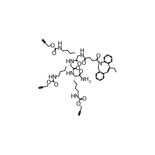 C#CCOC(=O)NCCCC[C@H](NC(=O)[C@H](CCCCNC(=O)OCC#C)NC(=O)[C@H](CCCCNC(=O)OCC#C)NC(=O)CCC(=O)N1Cc2ccccc2/C=C(/CC)c2ccccc21)C(N)=O